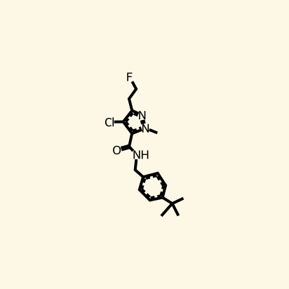 Cn1nc(CCF)c(Cl)c1C(=O)NCc1ccc(C(C)(C)C)cc1